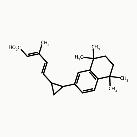 CC(C=CC1CC1c1ccc2c(c1)C(C)(C)CCC2(C)C)=CC(=O)O